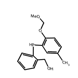 COCOc1ccc(C)cc1Pc1ccccc1CO